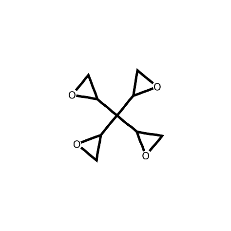 C1OC1C(C1CO1)(C1CO1)C1CO1